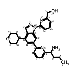 CCCC(N)c1cccc(-c2cc(C3CCOCC3)c3cnn(-c4cccc(CO)n4)c3c2)n1